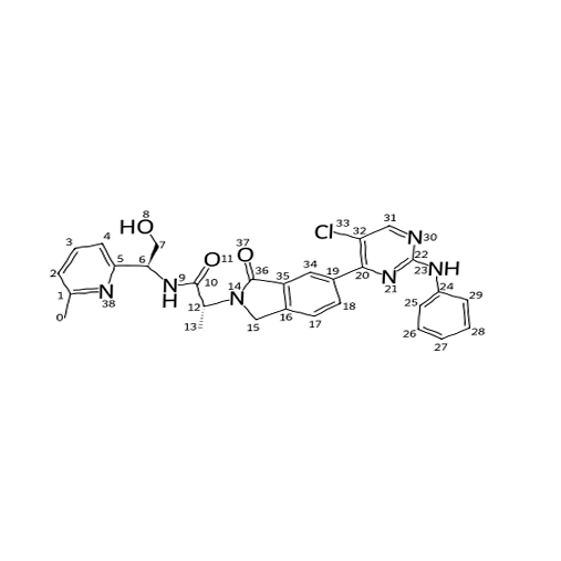 Cc1cccc([C@@H](CO)NC(=O)[C@@H](C)N2Cc3ccc(-c4nc(Nc5ccccc5)ncc4Cl)cc3C2=O)n1